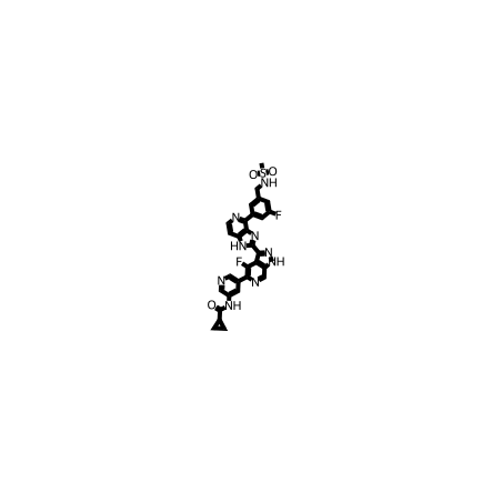 CS(=O)(=O)NCc1cc(F)cc(-c2nccc3[nH]c(-c4n[nH]c5cnc(-c6cncc(NC(=O)C7CC7)c6)c(F)c45)nc23)c1